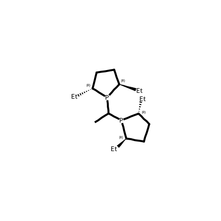 CC[C@@H]1CC[C@@H](CC)P1C(C)P1[C@H](CC)CC[C@H]1CC